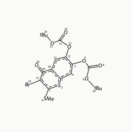 CSc1sc2cc(OC(=O)OC(C)(C)C)c(OC(=O)OC(C)(C)C)cc2c(=O)c1Br